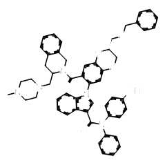 CN1CCN(CC2Cc3ccccc3CN2C(=O)c2cc3c(cc2-n2cc(C(=O)N(c4ccccc4)c4ccc(O)cc4)c4ccccc42)OC[C@H](COCc2ccccc2)O3)CC1